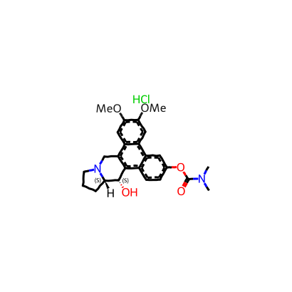 COc1cc2c3c(c4ccc(OC(=O)N(C)C)cc4c2cc1OC)[C@H](O)[C@@H]1CCCN1C3.Cl